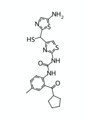 Cc1ccc(NC(=O)Nc2nc(C(S)c3ncc(N)s3)cs2)c(C(=O)C2CCCC2)c1